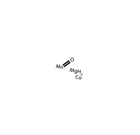 [Co].[MgH2].[O]=[Mn]